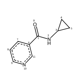 O=C(NC1CC1)c1c[c]cnc1